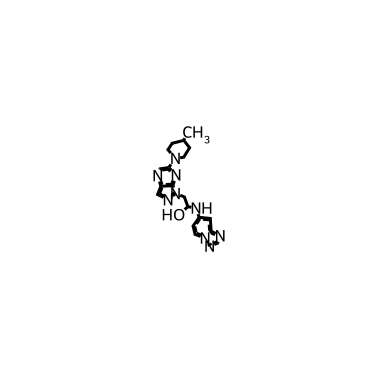 CC1CCN(c2cnc3cnn(CC(O)Nc4ccn5ncnc5c4)c3n2)CC1